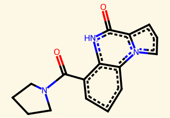 O=C(c1cccc2c1[nH]c(=O)c1cccn12)N1CCCC1